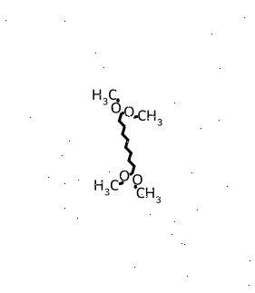 CCOC(CCCCCCCCC(OCC)OCC)OCC